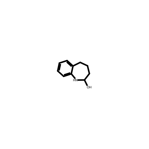 OC1CCCc2ccccc2N1